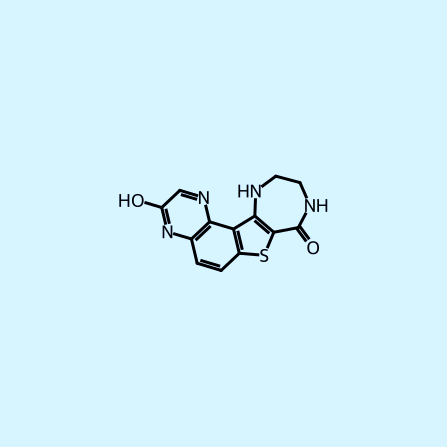 O=C1NCCNc2c1sc1ccc3nc(O)cnc3c21